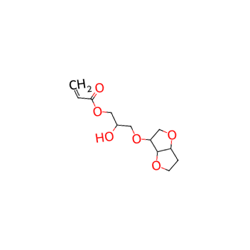 C=CC(=O)OCC(O)COC1COC2CCOC21